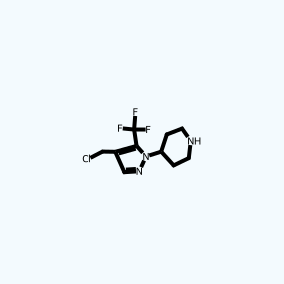 FC(F)(F)c1c(CCl)cnn1C1CCNCC1